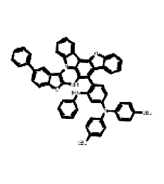 CC(C)(C)c1ccc(N(c2ccc(C(C)(C)C)cc2)c2ccc(-c3c4c5c(c6ccccc6n5-c5c(sc6ccc(-c7ccccc7)cc56)B4)c4oc5ccccc5c34)c(Nc3ccccc3)c2)cc1